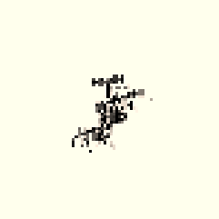 CC(C)C[C@H](NC(=O)[C@H](CCCCN)NC(=O)[C@H](Cc1ccccc1)NC(=O)[C@H](CC(C)C)NC(=O)[C@H](CCCNC(=N)N)NC(=O)[C@@H](N)CCCCN)C(=O)O